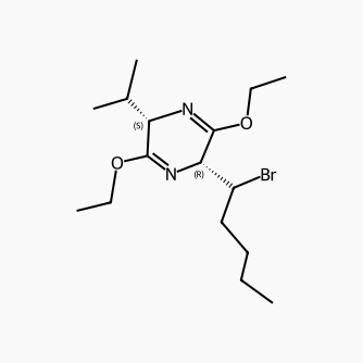 CCCCC(Br)[C@@H]1N=C(OCC)[C@H](C(C)C)N=C1OCC